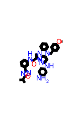 COc1ccc(CN(c2ccccc2)c2cc(NC3CCC(N)CC3)nn3c(C(=O)Nc4cccc(-c5noc(C(C)C)n5)c4)cnc23)cc1